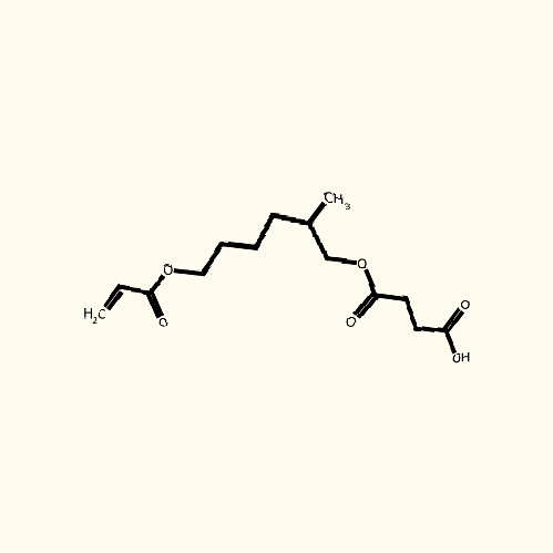 C=CC(=O)OCCCCC(C)COC(=O)CCC(=O)O